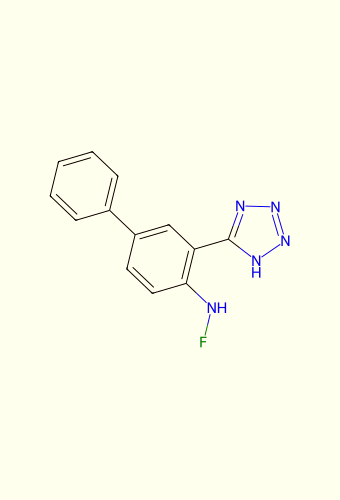 FNc1ccc(-c2ccccc2)cc1-c1nnn[nH]1